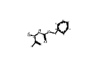 C=C(C)[C@@H](CC)NC(=O)OCc1ccccc1